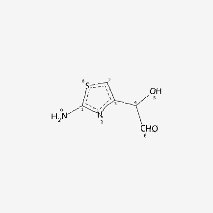 Nc1nc(C(O)C=O)cs1